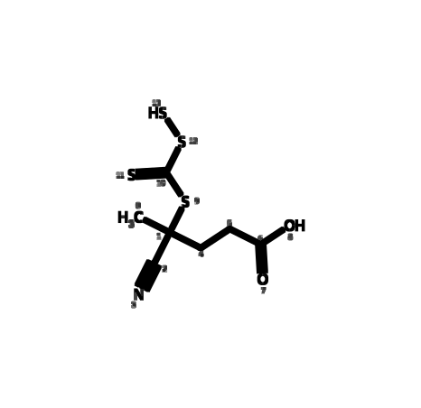 CC(C#N)(CCC(=O)O)SC(=S)SS